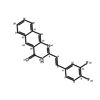 O=c1[nH]c(C=Cc2ccc(F)c(F)c2)nc2cc3ccccc3cc12